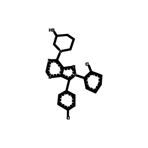 OC1CCCN(c2ncnc3c(-c4ccc(Cl)cc4)n(-c4ccccc4Cl)nc23)C1